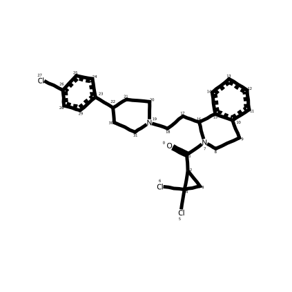 O=C(C1CC1(Cl)Cl)N1CCc2ccccc2C1CCN1CCC(c2ccc(Cl)cc2)CC1